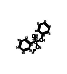 O=[SH](OI)(Oc1ccccc1)c1ccccc1